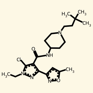 CCn1nc(-c2cc(C)on2)c(C(=O)NC2CCN(CCC(C)(C)C)CC2)c1Cl